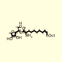 CCCCCCCC/C=C\CCCCCCC([SiH3])C(=O)O[C@H](CO)[C@H]1OC[C@H](O)[C@H]1O